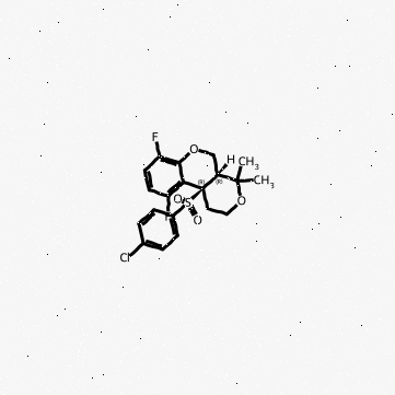 CC1(C)OCC[C@]2(S(=O)(=O)c3ccc(Cl)cc3)c3c(F)ccc(F)c3OC[C@H]12